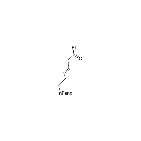 CCCCCCCC=CCC(=O)CC